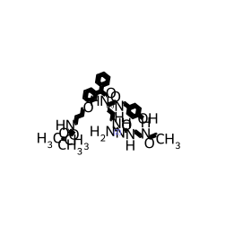 CCC(=O)NCCNC(=O)/N=C(/N)NCCC[C@@H](NC(=O)C(c1ccccc1)c1cccc(OCCCCNC(=O)OC(C)(C)C)c1)C(=O)NCc1ccc(O)cc1